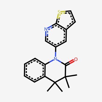 CC1(C)C(=O)N(c2cnc3sccc3c2)c2ccccc2C1(C)C